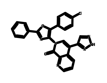 O=c1c2ncccc2c(-c2cn[nH]n2)cn1-c1nc(-c2ccccc2)oc1-c1ccc(Cl)cc1